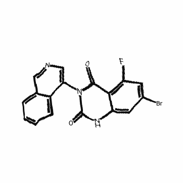 O=c1[nH]c2cc(Br)cc(F)c2c(=O)n1-c1cncc2ccccc12